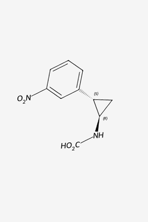 O=C(O)N[C@@H]1C[C@H]1c1cccc([N+](=O)[O-])c1